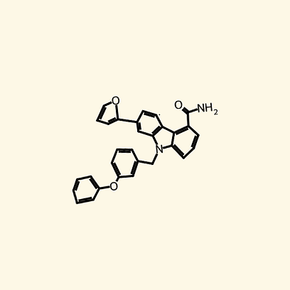 NC(=O)c1cccc2c1c1[c]cc(-c3ccco3)cc1n2Cc1cccc(Oc2ccccc2)c1